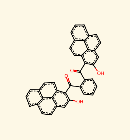 O=C(c1ccccc1C(=O)c1c(O)cc2ccc3cccc4ccc1c2c34)c1c(O)cc2ccc3cccc4ccc1c2c34